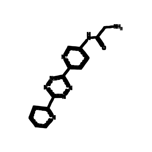 NCC(=O)Nc1ccc(-c2nnc(-c3ccccn3)nn2)nc1